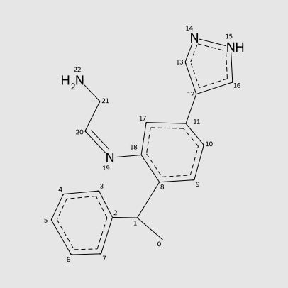 CC(c1ccccc1)c1ccc(-c2cn[nH]c2)cc1/N=C\CN